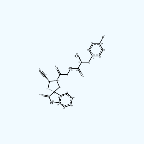 N#C[C@@H]1C[C@@]2(CN1C(=O)CNC(=O)[C@@H](N)Cc1ccc(F)cc1)C(=O)Nc1ccccc12